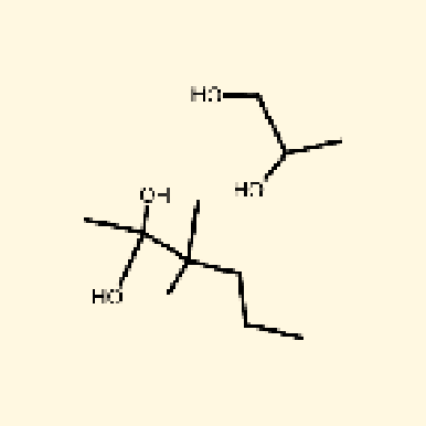 CC(O)CO.CCCC(C)(C)C(C)(O)O